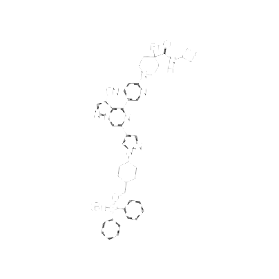 CCC1(C(=O)NC2CCC2)CCN(c2ccc(-c3nc(-c4cnn(C5CCC(CO[Si](c6ccccc6)(c6ccccc6)C(C)(C)C)CC5)c4)cn4ncc(C#N)c34)cn2)CC1